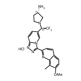 COc1ccc2ccc(-c3nnc4ccc([C@@H](N5CC[C@H](N)C5)C(F)(F)F)cn34)nc2c1C.Cl